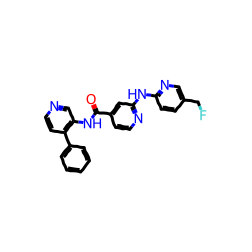 O=C(Nc1cnccc1-c1ccccc1)c1ccnc(Nc2ccc(CF)cn2)c1